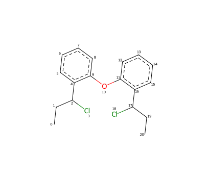 CCC(Cl)c1ccccc1Oc1ccccc1C(Cl)CC